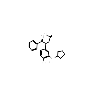 COc1ccc(C2CC(=O)NN=C2c2ccccc2)cc1OC1CCCC1